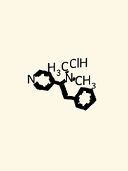 CN(C)C(=Cc1ccccc1)c1ccncc1.Cl